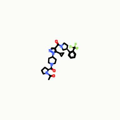 CC(=O)N1CCC[C@H]1C(=O)N1CCC(n2ncc(C(=O)N3CC[C@@H](c4ccccc4C(F)(F)F)C3)c2C2CC2)CC1